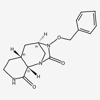 O=C1NCC[C@@H]2C[C@@H]3CN(C(=O)N3OCc3ccccc3)[C@H]12